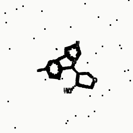 Cc1ccc2c(c1)-c1cncn1C2[C@H]1COC[C@@H]1O